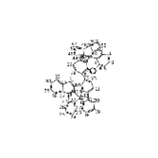 c1ccc2c(c1)Oc1c(-c3ccc4c(c3)C3(c5ccccc5-4)c4ccccc4-c4c3ccc3ccccc43)cccc1C21c2ccccc2-c2ccccc21